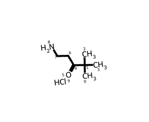 CC(C)(C)C(=O)CCN.Cl